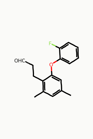 Cc1cc(C)c(CCC=O)c(Oc2ccccc2F)c1